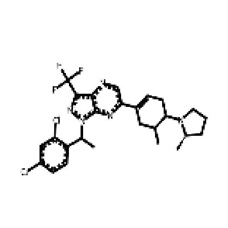 CC1CC(c2cnc3c(C(F)(F)F)nn(C(C)c4ccc(Cl)cc4Cl)c3n2)=CCC1N1CCC[C@H]1C